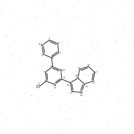 Clc1cc(-c2cccnc2)nc(-c2cnc3ccccn23)n1